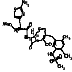 CON=C(C(=O)N[C@@H]1C(=O)N2C(C(=O)O)=C(Cc3cc(NS(C)(=O)=O)c(C)cc3C)CS[C@H]12)c1csc(N)n1